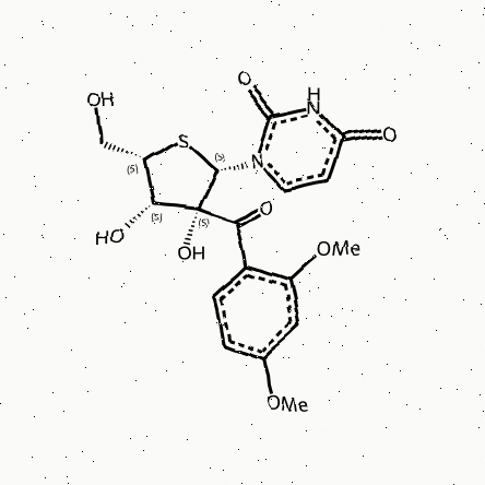 COc1ccc(C(=O)[C@@]2(O)[C@H](O)[C@H](CO)S[C@@H]2n2ccc(=O)[nH]c2=O)c(OC)c1